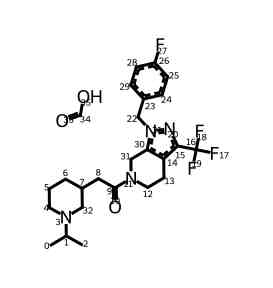 CC(C)N1CCCC(CC(=O)N2CCc3c(C(F)(F)F)nn(Cc4ccc(F)cc4)c3C2)C1.O=CO